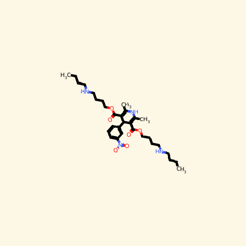 CCCCNCCCCOC(=O)C1=C(C)NC(C)=C(C(=O)OCCCCNCCCC)C1c1cccc([N+](=O)[O-])c1